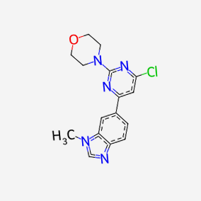 Cn1cnc2ccc(-c3cc(Cl)nc(N4CCOCC4)n3)cc21